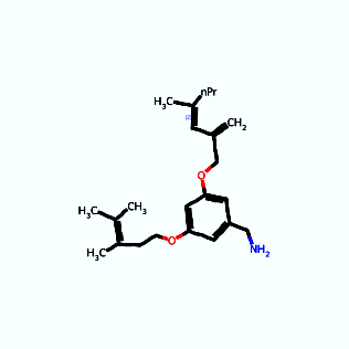 C=C(/C=C(/C)CCC)COc1cc(CN)cc(OCCC(C)=C(C)C)c1